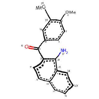 COc1ccc(C(=O)c2ccc3ccccc3c2N)cc1OC